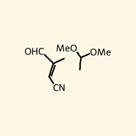 C/C(C=O)=C\C#N.COC(C)OC